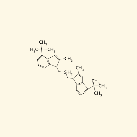 CC1=Cc2c(cccc2C(C)(C)C)C1C[SiH2]CC1C(C)=Cc2c1cccc2C(C)(C)C